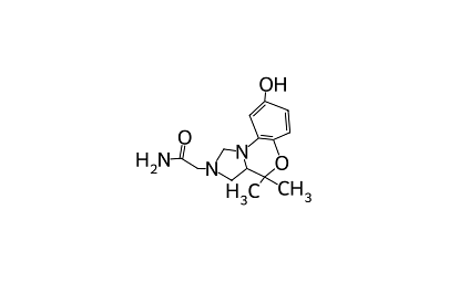 CC1(C)Oc2ccc(O)cc2N2CN(CC(N)=O)CC21